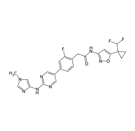 Cn1cnc(Nc2ncc(-c3ccc(CC(=O)Nc4cc(C5(C(F)F)CC5)on4)c(F)c3)cn2)c1